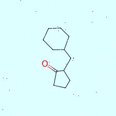 O=C1CCCC1[CH]C1CCCCC1